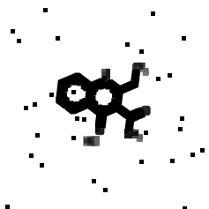 Cl.NC(=O)c1c(CC(F)(F)F)[nH]c2ccccc2c1=O